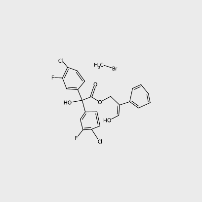 CBr.O=C(OCC(=CO)c1ccccc1)C(O)(c1ccc(Cl)c(F)c1)c1ccc(Cl)c(F)c1